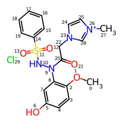 COc1ccc(O)cc1N(NS(=O)(=O)c1ccccc1)C(=O)Cn1cc[n+](C)c1.[Cl-]